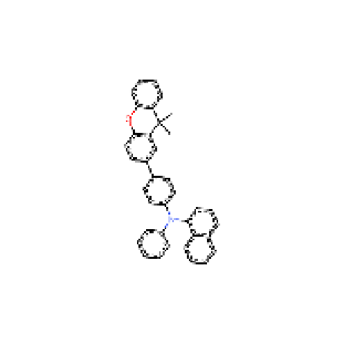 CC1(C)c2ccccc2Oc2ccc(-c3ccc(N(c4ccccc4)c4cccc5ccccc45)cc3)cc21